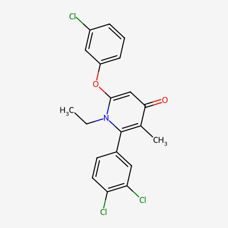 CCn1c(Oc2cccc(Cl)c2)cc(=O)c(C)c1-c1ccc(Cl)c(Cl)c1